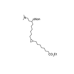 CCCCCCCCCC(CCCCCCC1CC1CCCCCCCC(=O)OCC)CCN(C)C